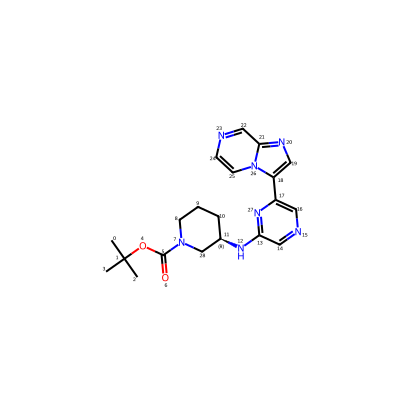 CC(C)(C)OC(=O)N1CCC[C@@H](Nc2cncc(-c3cnc4cnccn34)n2)C1